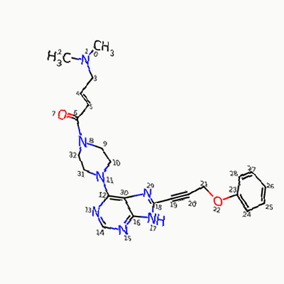 CN(C)C/C=C/C(=O)N1CCN(c2ncnc3[nH]c(C#CCOc4ccccc4)nc23)CC1